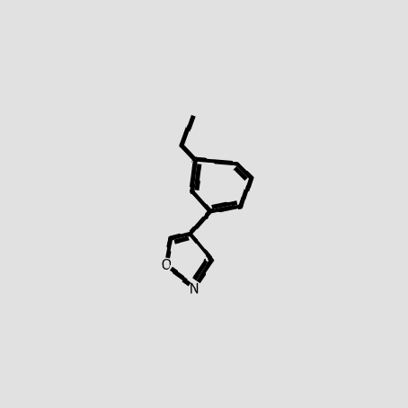 CCc1cccc(-c2cnoc2)c1